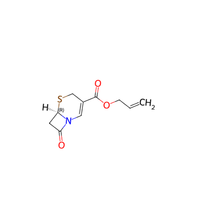 C=CCOC(=O)C1=CN2C(=O)C[C@H]2SC1